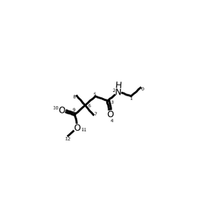 CCNC(=O)CC(C)(C)C(=O)OC